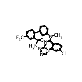 CN(c1cccc(-c2ccc(C(F)(F)F)cc2C(N)=O)c1)c1nc2nncn2c2cc(Cl)ccc12